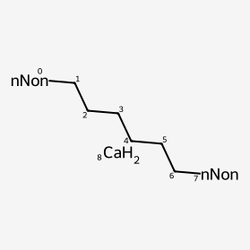 CCCCCCCCCCCCCCCCCCCCCCCC.[CaH2]